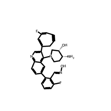 N[C@@H]1CCN(c2c(C3=CC(F)=CC#CC3)cnc3ccc(-c4cccc(F)c4/C=N/O)cc23)C[C@@H]1O